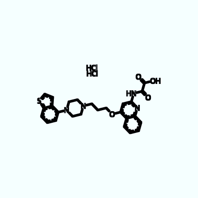 Cl.Cl.O=C(O)C(=O)Nc1cc(OCCCN2CCN(c3cccc4sccc34)CC2)c2ccccc2n1